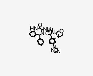 O=C1Nc2ccccc2C(c2ccccc2)=NC1Nc1nnc(-c2ccc(-n3cncn3)cc2N2CCOCC2)o1